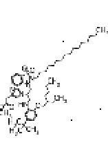 CCCCCCCCCCCCCCCCN1N(CC(CNc2cc(C(C)(C)C)ccc2OCC(CC)CCCC)n2cnc(CC(=O)OC)c2)c2ccccc2S1(=O)=O